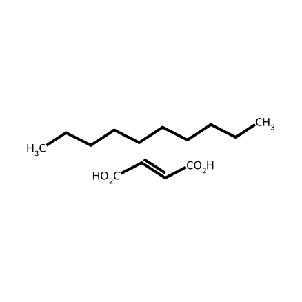 CCCCCCCCCC.O=C(O)C=CC(=O)O